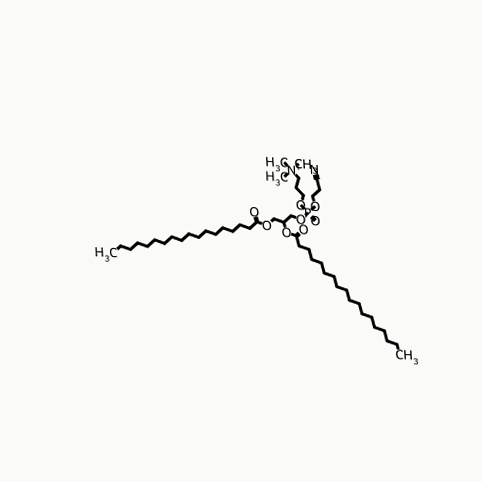 CCCCCCCCCCCCCCCCCC(=O)OCC(COP(=O)(OCCC#N)OCCC[N+](C)(C)C)OC(=O)CCCCCCCCCCCCCCCCC